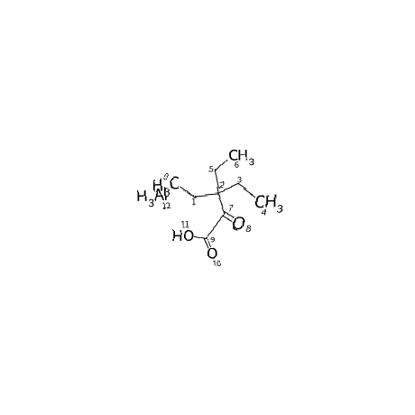 CCC(CC)(CC)C(=O)C(=O)O.[AlH3]